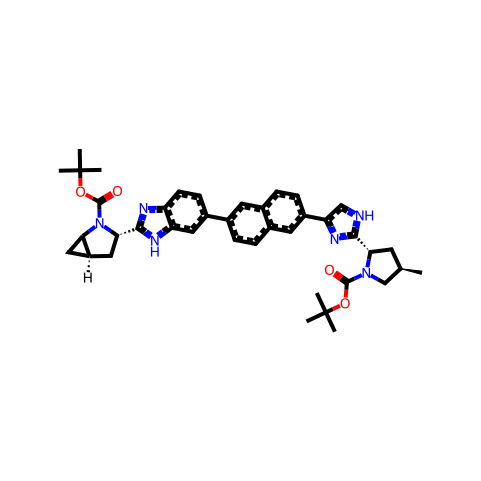 C[C@@H]1C[C@@H](c2nc(-c3ccc4cc(-c5ccc6nc([C@@H]7C[C@H]8CC8N7C(=O)OC(C)(C)C)[nH]c6c5)ccc4c3)c[nH]2)N(C(=O)OC(C)(C)C)C1